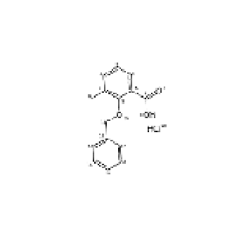 Cc1cccc(C(=O)O)c1OCc1ccccc1.Cl